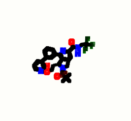 CC(C)(C)[S+]([O-])N1Cc2cc(C(=O)NCC(F)(F)F)nc(-c3cccc(-c4cccnc4)c3)c2[C@H]1CCO